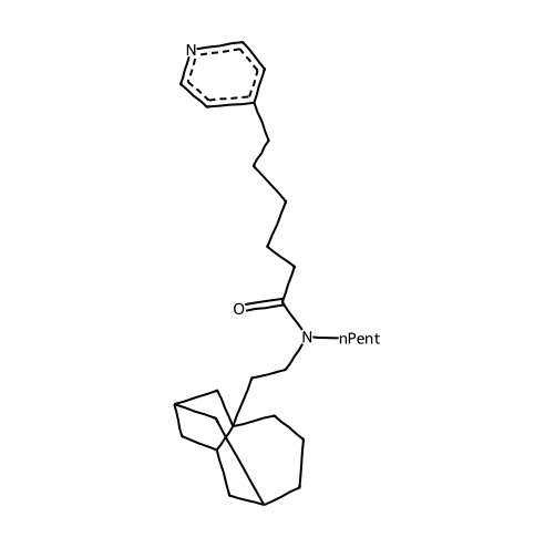 CCCCCN(CCC12CCCC3CC(CC1C3)C2)C(=O)CCCCCc1ccncc1